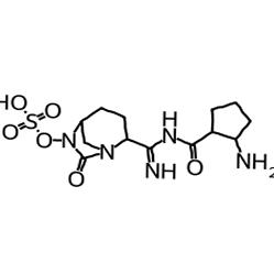 N=C(NC(=O)C1CCCC1N)C1CCC2CN1C(=O)N2OS(=O)(=O)O